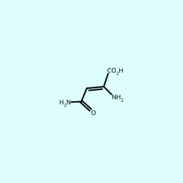 NC(=O)/C=C(\N)C(=O)O